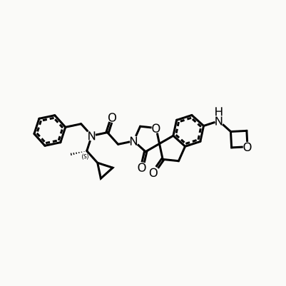 C[C@@H](C1CC1)N(Cc1ccccc1)C(=O)CN1COC2(C(=O)Cc3cc(NC4COC4)ccc32)C1=O